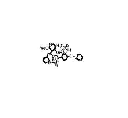 CC[Si](CC)(CC)O[C@@H](CN[C@@H](Cc1ccccc1)c1c(OC)ccnc1OC)c1ccc(OCc2ccccc2)c(NS(C)(=O)=O)c1